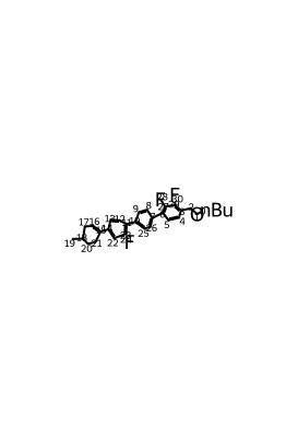 CCCCOCc1ccc(-c2ccc(-c3ccc(C4=CCC(C)CC4)cc3F)cc2)c(F)c1F